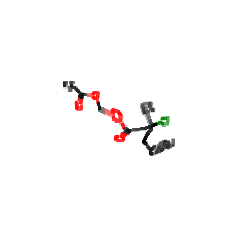 CCC(Cl)(CC(C)(C)C)C(=O)OCOC(=O)C(F)(F)F